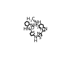 CCNCc1ccc2ncc(-c3csc(Nc4ccc(C(=O)Nc5ccccc5N)s4)n3)n2c1